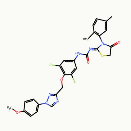 CCCc1ccc(C)cc1N1C(=O)CS/C1=N\C(=O)Nc1cc(F)c(OCc2ncn(-c3ccc(OC(F)(F)F)cc3)n2)c(F)c1